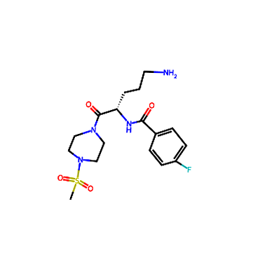 CS(=O)(=O)N1CCN(C(=O)[C@H](CCCN)NC(=O)c2ccc(F)cc2)CC1